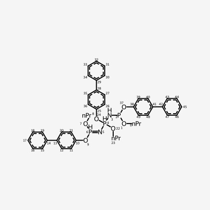 CCCOP(N[PH](N=[PH](OCCC)Oc1ccc(-c2ccccc2)cc1)(OCCC)Oc1ccc(-c2ccccc2)cc1)Oc1ccc(-c2ccccc2)cc1